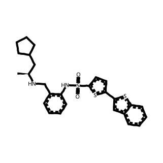 C[C@@H](CC1CCCC1)NCc1ccccc1NS(=O)(=O)c1ccc(-c2cc3ccccc3s2)s1